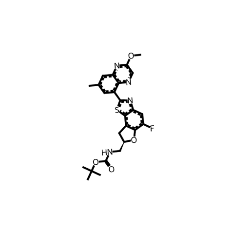 COc1cnc2c(-c3nc4cc(F)c5c(c4s3)C[C@H](CNC(=O)OC(C)(C)C)O5)cc(C)cc2n1